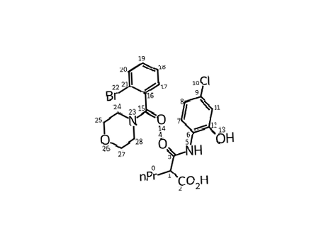 CCCC(C(=O)O)C(=O)Nc1ccc(Cl)cc1O.O=C(c1ccccc1Br)N1CCOCC1